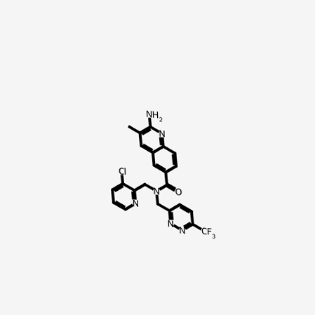 Cc1cc2cc(C(=O)N(Cc3ccc(C(F)(F)F)nn3)Cc3ncccc3Cl)ccc2nc1N